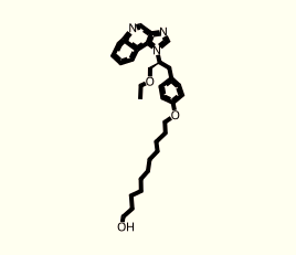 CCOC[C@H](Cc1ccc(OCCCCCCCCCCCO)cc1)n1cnc2cnc3ccccc3c21